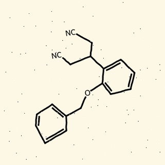 N#CCC(CC#N)c1ccccc1OCc1ccccc1